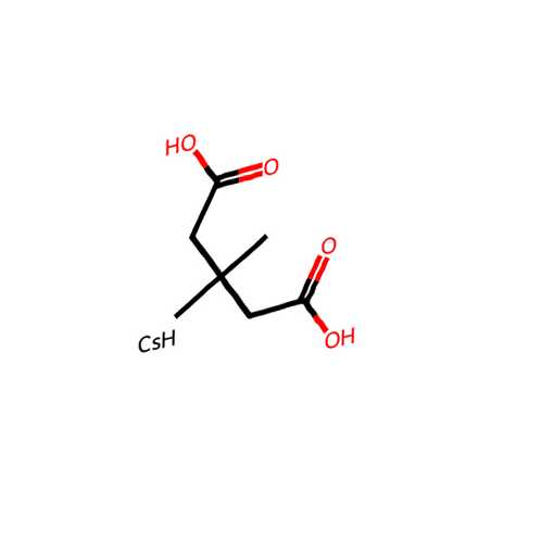 CC(C)(CC(=O)O)CC(=O)O.[CsH]